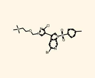 Cc1ccc(S(=O)(=O)n2cc(-c3cn(COCCS(C)(C)C)nc3Cl)c3cc(Br)ncc32)cc1